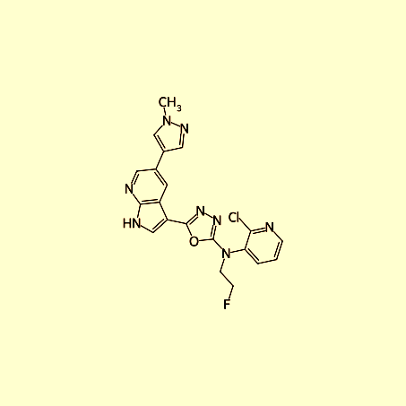 Cn1cc(-c2cnc3[nH]cc(-c4nnc(N(CCF)c5cccnc5Cl)o4)c3c2)cn1